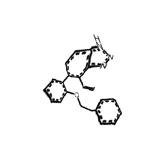 C=Cc1c(-c2ccccc2OCc2ccccc2)ccc2[nH]nnc12